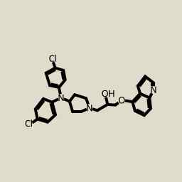 OC(COc1cccc2ncccc12)CN1CCC(N(c2ccc(Cl)cc2)c2ccc(Cl)cc2)CC1